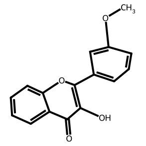 COc1cccc(-c2oc3ccccc3c(=O)c2O)c1